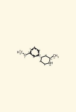 COc1cccc([C@H]2CCN[C@H](C)C2)c1